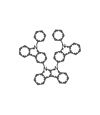 c1ccc(-n2c3ccccc3c3cc(-n4c5ccccc5c5c6ccccc6n(-c6ccc7c(c6)c6ccccc6n7-c6ccccc6)c54)ccc32)cc1